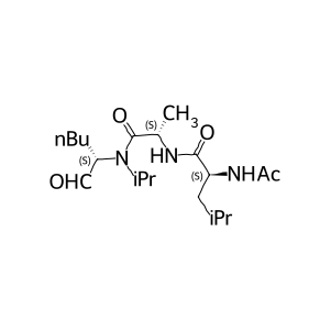 CCCC[C@@H](C=O)N(C(=O)[C@H](C)NC(=O)[C@H](CC(C)C)NC(C)=O)C(C)C